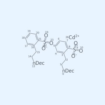 CCCCCCCCCCCCc1ccccc1S(=O)(=O)[O-].CCCCCCCCCCCCc1ccccc1S(=O)(=O)[O-].[Cd+2]